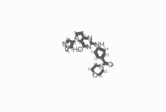 Cn1cc(-n2ccc3nc(Nc4ccc(C(=O)N5CCOCC5)cc4)nc(O)c32)cn1